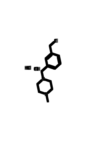 CN1CCN(Cc2cccc(CCl)c2)CC1.Cl.Cl